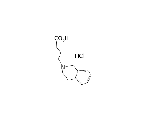 Cl.O=C(O)CCCN1CCc2ccccc2C1